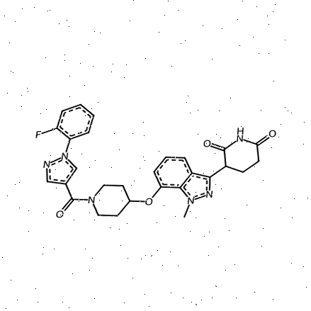 Cn1nc(C2CCC(=O)NC2=O)c2cccc(OC3CCN(C(=O)c4cnn(-c5ccccc5F)c4)CC3)c21